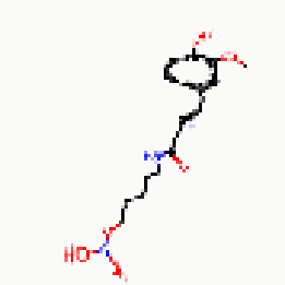 COc1cc(/C=C/C(=O)NCCCCCON(O)O)ccc1O